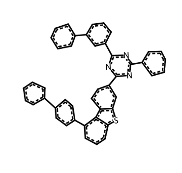 c1ccc(-c2ccc(-c3cccc4sc5cc(-c6nc(-c7ccccc7)nc(-c7cccc(-c8ccccc8)c7)n6)ccc5c34)cc2)cc1